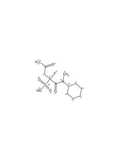 CC(=O)CC(F)(C(=O)N(C)C1CCCCC1)S(=O)(=O)O